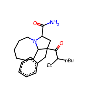 CCCCC(CC)C(=O)C1(Cc2ccccc2)CC(C(N)=O)N2CCCCCCC21